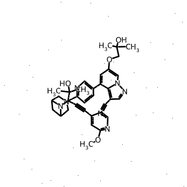 COc1cc(C#CC(N2C3CC2CN(c2ccc(-c4cc(OCC(C)(C)O)cn5ncc(C#N)c45)cn2)C3)C(C)(C)O)ccn1